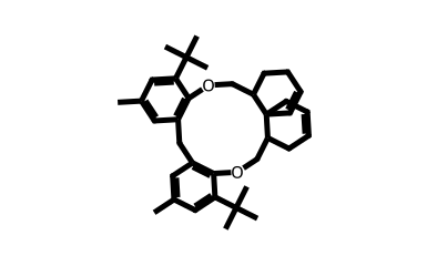 Cc1cc2c(c(C(C)(C)C)c1)OCC1CC=CCC13C=CCCC3COc1c(cc(C)cc1C(C)(C)C)C2